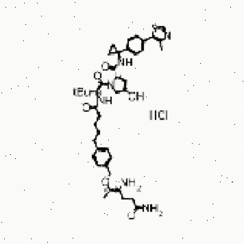 Cc1ncsc1-c1ccc(C2(NC(=O)[C@@H]3C[C@@H](O)CN3C(=O)[C@@H](NC(=O)CCCCc3ccc(CO[C@H](C)[C@@H](N)CCC(N)=O)cc3)C(C)(C)C)CC2)cc1.Cl